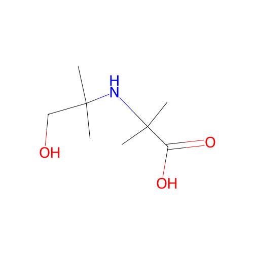 CC(C)(CO)NC(C)(C)C(=O)O